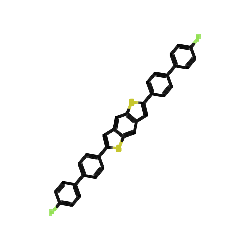 Fc1ccc(-c2ccc(-c3cc4cc5sc(-c6ccc(-c7ccc(F)cc7)cc6)cc5cc4s3)cc2)cc1